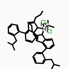 CCCC1=Cc2c(-c3ccccc3CC(C)C)cccc2[CH]1[Hf]([Cl])([Cl])([CH]1C(CCC)=Cc2c(-c3ccccc3CC(C)C)cccc21)[SiH](C)C